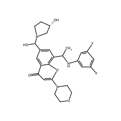 CC(Nc1cc(F)cc(F)c1)c1cc(C(O)N2CC[C@H](O)C2)cc2c(=O)cc(N3CCOCC3)oc12